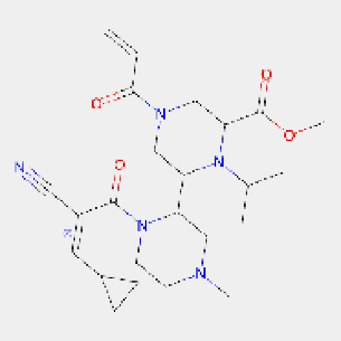 C=CC(=O)N1CC(C(=O)OC)N(C(C)C)C(C2CN(C)CCN2C(=O)/C(C#N)=C\C2CC2)C1